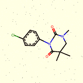 CN1CC(C)(C)C(=O)N(c2ccc(Cl)cc2)C1=O